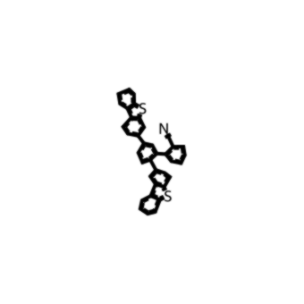 N#Cc1ccccc1-c1cc(-c2ccc3c(c2)sc2ccccc23)ccc1-c1ccc2sc3ccccc3c2c1